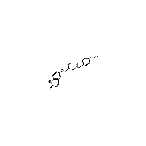 COc1ccc(CNCC(O)COc2ccc3[nH]c(=O)ccc3c2)cc1